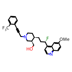 COc1ccc2nccc([C@@H](F)CC[C@@H]3CCN(CC#Cc4ccccc4C(F)(F)F)C[C@@H]3CO)c2c1